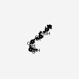 CCNS(=O)(=O)c1cccc(CNC(=O)c2ccc(CNC(=O)Cc3cccc(C[C@@H](C)NC[C@@H](O)c4ccc(-n5c(C)ccc5C)nc4)c3)cc2)c1